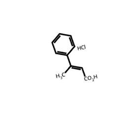 CC(=CC(=O)O)c1ccccc1.Cl